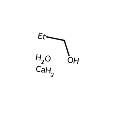 CCCO.O.[CaH2]